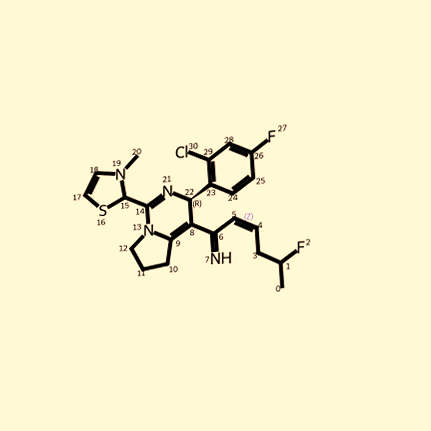 CC(F)C/C=C\C(=N)C1=C2CCCN2C(C2SC=CN2C)=N[C@H]1c1ccc(F)cc1Cl